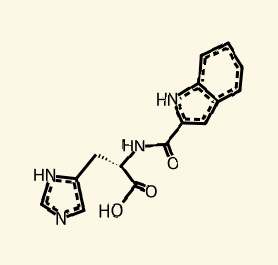 O=C(N[C@@H](Cc1cnc[nH]1)C(=O)O)c1cc2ccccc2[nH]1